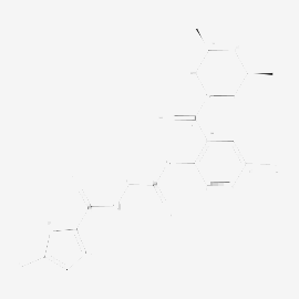 Cc1ccc(C(=O)NCC(=O)Nc2ccc(Br)cc2C(=O)N2C[C@H](C)C[C@H](C)C2)o1